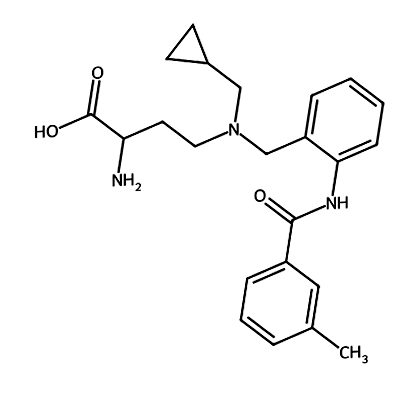 Cc1cccc(C(=O)Nc2ccccc2CN(CCC(N)C(=O)O)CC2CC2)c1